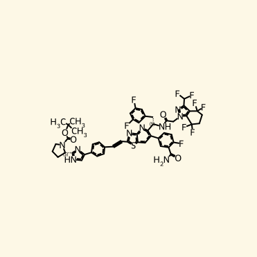 CC(C)(C)OC(=O)N1CCC[C@H]1c1nc(-c2ccc(C#Cc3nc4nc([C@H](Cc5cc(F)cc(F)c5)NC(=O)Cn5nc(C(F)F)c6c5C(F)(F)CCC6(F)F)c(-c5ccc(F)c(C(N)=O)c5)cc4s3)cc2)c[nH]1